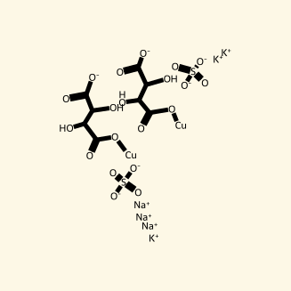 O=C([O-])C(O)C(O)C(=O)[O][Cu].O=C([O-])C(O)C(O)C(=O)[O][Cu].O=S(=O)([O-])[O-].O=S(=O)([O-])[O-].[K+].[K+].[K+].[Na+].[Na+].[Na+]